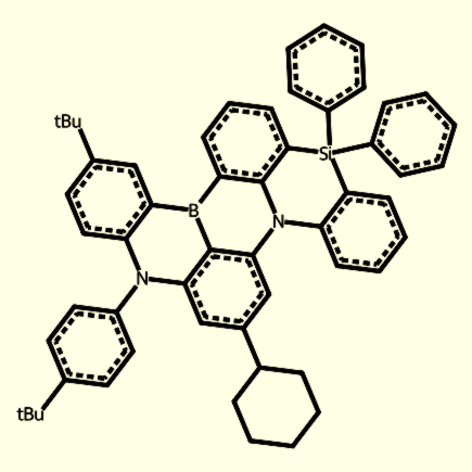 CC(C)(C)c1ccc(N2c3ccc(C(C)(C)C)cc3B3c4cccc5c4N(c4ccccc4[Si]5(c4ccccc4)c4ccccc4)c4cc(C5CCCCC5)cc2c43)cc1